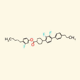 CCCCCc1ccc(OC(=O)C2CCC(c3ccc(-c4ccc(CCC)cc4)c(F)c3F)CC2)cc1F